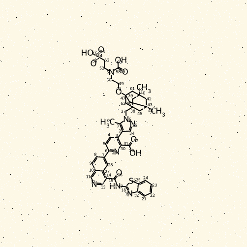 Cc1c(-c2ccc(-c3ccc4cncc(C(=O)Nc5nc6ccccc6s5)c4c3)nc2C(=O)O)cnn1CC12CC3(C)CC(C)(C1)CC(OCCN(CCS(=O)(=O)O)C(=O)O)(C3)C2